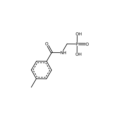 Cc1ccc(C(=O)NCP(=O)(O)O)cc1